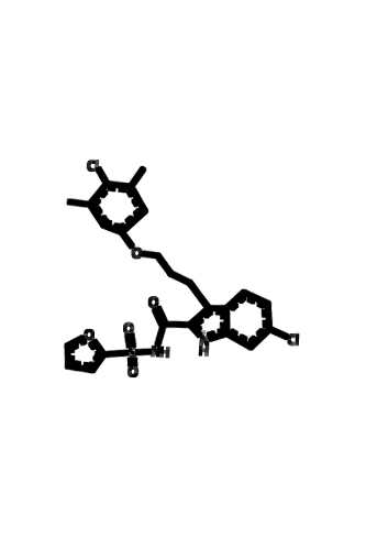 Cc1cc(OCCCc2c(C(=O)NS(=O)(=O)c3ccco3)[nH]c3cc(Cl)ccc23)cc(C)c1Cl